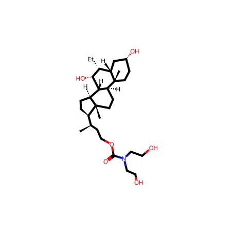 CC[C@H]1[C@@H](O)[C@@H]2[C@H](CC[C@]3(C)[C@@H]([C@H](C)CCOC(=O)N(CCO)CCO)CC[C@@H]23)[C@@]2(C)CC[C@@H](O)C[C@@H]12